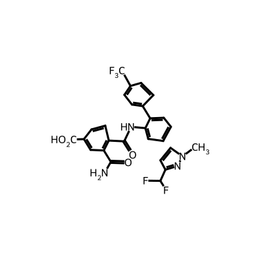 Cn1ccc(C(F)F)n1.NC(=O)c1cc(C(=O)O)ccc1C(=O)Nc1ccccc1-c1ccc(C(F)(F)F)cc1